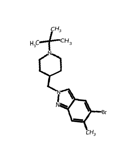 Cc1cc2nn(CC3CCN(C(C)(C)C)CC3)cc2cc1Br